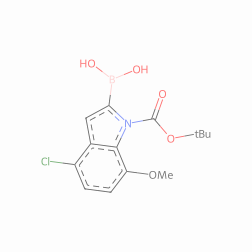 COc1ccc(Cl)c2cc(B(O)O)n(C(=O)OC(C)(C)C)c12